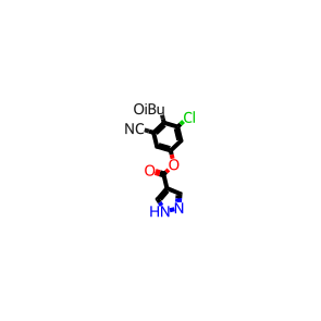 CC(C)COc1c(Cl)cc(OC(=O)c2cn[nH]c2)cc1C#N